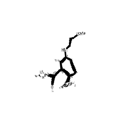 CSCCNc1ccc(N)c(C(N)=O)c1